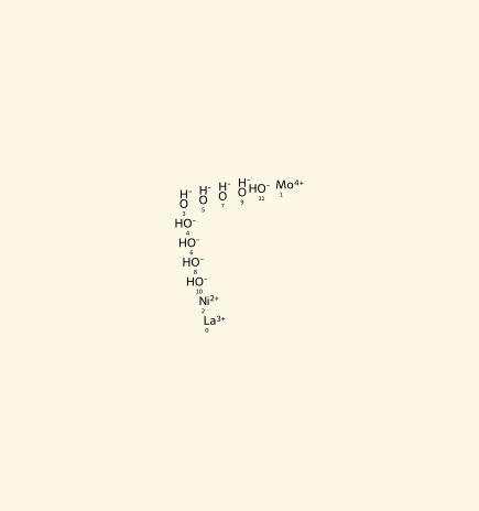 [La+3].[Mo+4].[Ni+2].[OH-].[OH-].[OH-].[OH-].[OH-].[OH-].[OH-].[OH-].[OH-]